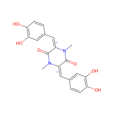 Cn1c(=O)/c(=C\c2ccc(O)c(O)c2)n(C)c(=O)/c1=C\c1ccc(O)c(O)c1